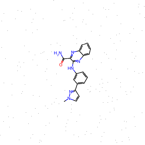 Cn1ccc(-c2cccc(Nc3nc4ccccc4nc3C(N)=O)c2)n1